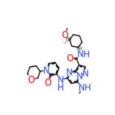 CNc1cc(Nc2cccn(C3CCCOC3)c2=O)nc2c(C(=O)N[C@H]3CCC[C@](C)(OC)C3)cnn12